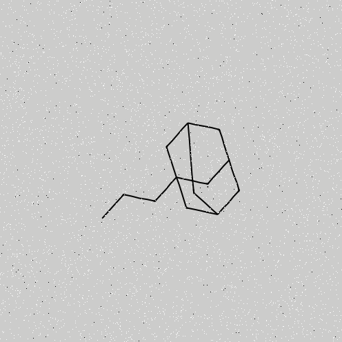 CCCC12[CH]C3CC(CC(C3)C1)C2